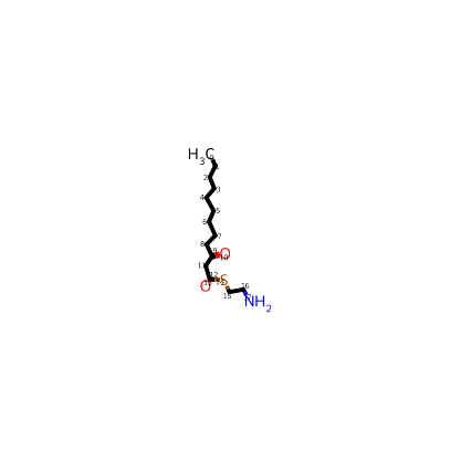 CCCCCCCCCC(=O)CC(=O)SCCN